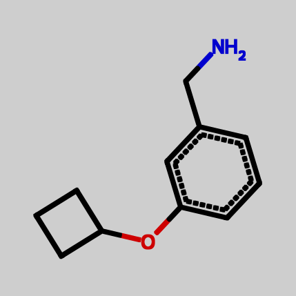 NCc1cccc(OC2CCC2)c1